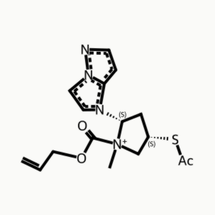 C=CCOC(=O)[N+]1(C)C[C@@H](SC(C)=O)C[C@H]1n1ccn2nccc12